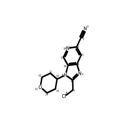 N#Cc1cc2nc(CCl)n(C3CCOCC3)c2cn1